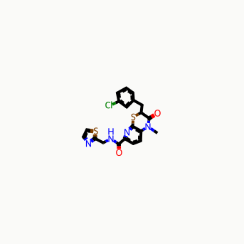 CN1C(=O)C(Cc2cccc(Cl)c2)Sc2nc(C(=O)NCc3nccs3)ccc21